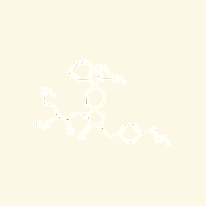 CCCN(C)C(=O)CN1C(=O)N(Cc2ccc(OC)cc2)C[C@]12CC[C@@](c1ccccc1)(N(C)C)CC2